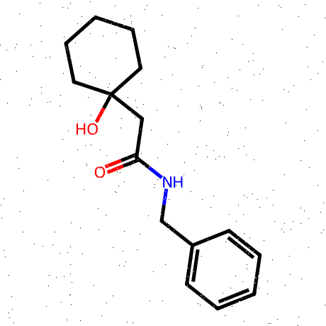 O=C(CC1(O)CCCCC1)NCc1ccccc1